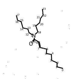 CCCCCCC/C=C/C(=O)N(CCCCCC)CCCCCC